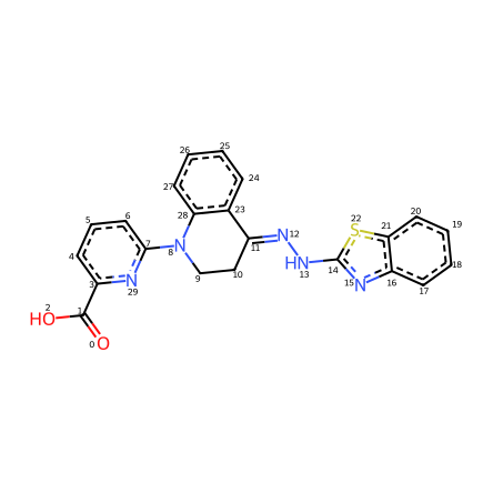 O=C(O)c1cccc(N2CCC(=NNc3nc4ccccc4s3)c3ccccc32)n1